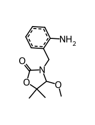 COC1N(Cc2ccccc2N)C(=O)OC1(C)C